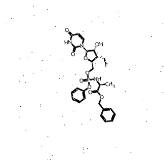 C[C@H](NP(=O)(OC[C@H]1O[C@@H](n2ccc(=O)[nH]c2=O)[C@H](O)[C@@H]1CF)Oc1ccccc1)C(=O)OCc1ccccc1